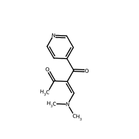 CC(=O)C(=CN(C)C)C(=O)c1ccncc1